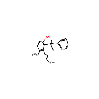 CCCCCCCCCCCCc1c(CCCCCCCCCC)ccc(O)c1C(C)(C)c1ccccc1